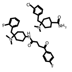 CN(C)C1(Cc2cccc(Cl)c2)CCC(C(N)=O)CC1.CN(C)C1(Cc2ccccc2F)CCC(NC(=O)CCC(=O)c2ccc(F)cc2)CC1